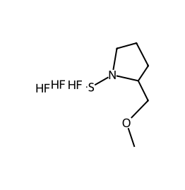 COCC1CCCN1[S].F.F.F